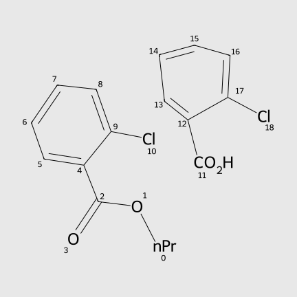 CCCOC(=O)c1ccccc1Cl.O=C(O)c1ccccc1Cl